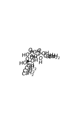 O=P(O)(O)O.O=P(O)(O)O.O=P(O)(O)O.[CaH2].[CaH2].[CaH2].[CaH2].[CaH2].[CaH2]